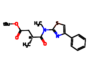 C[C@H](CC(=O)OC(C)(C)C)C(=O)N(C)c1nc(-c2ccccc2)cs1